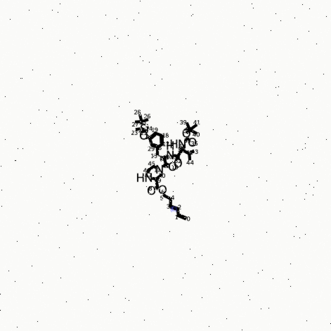 C=C/C=C/CCOC(=O)C1CN(C(=O)[C@H](Cc2cccc(O[Si](C)(C)C(C)(C)C)c2)NC(=O)[C@@H](NC(=O)OC(C)(C)C)C(C)C)CCN1